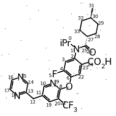 CC(C)N(c1cc(F)c(Oc2ncc(Cc3cnccn3)cc2C(F)(F)F)cc1C(=O)O)C(=O)[C@H]1CC[C@H](C)CC1